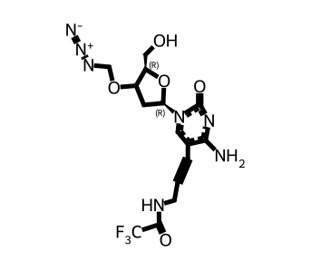 [N-]=[N+]=NCOC1C[C@H](n2cc(C#CCNC(=O)C(F)(F)F)c(N)nc2=O)O[C@@H]1CO